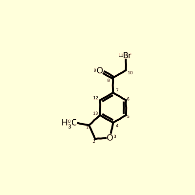 CC1COc2ccc(C(=O)CBr)cc21